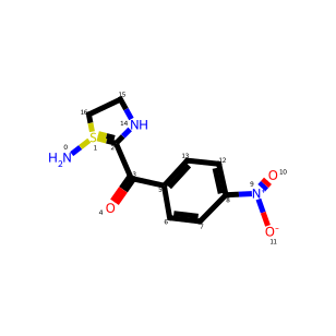 NS1=C(C(=O)c2ccc([N+](=O)[O-])cc2)NCC1